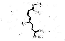 C=C(CCCCCCC)CC/C(C)=C/C=C\C(C)=N\C